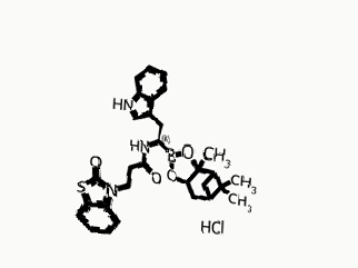 CC1(C)C2CC3OB([C@H](Cc4c[nH]c5ccccc45)NC(=O)CCn4c(=O)sc5ccccc54)OC3(C)C1C2.Cl